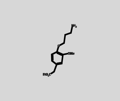 CCOC(=O)Cc1ccc(OCCCN)c(OC)c1